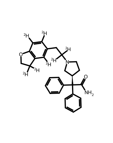 [2H]c1c([2H])c2c(c([2H])c1CC([2H])([2H])N1CC[C@@H](C(C(N)=O)(c3ccccc3)c3ccccc3)C1)C([2H])([2H])CO2